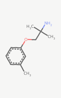 Cc1cccc(OCC(C)(C)N)c1